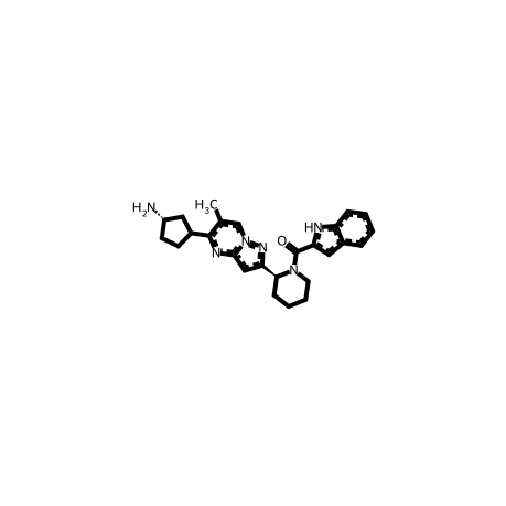 Cc1cn2nc([C@@H]3CCCCN3C(=O)c3cc4ccccc4[nH]3)cc2nc1C1CC[C@H](N)C1